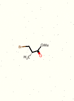 COC(=O)[C@H](C)CBr